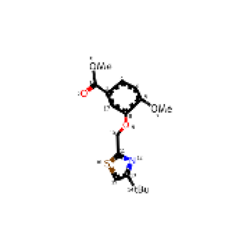 COC(=O)c1ccc(OC)c(OCc2nc(C(C)(C)C)cs2)c1